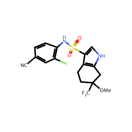 COC1(C(F)(F)F)CCc2c(S(=O)(=O)Nc3ccc(C#N)cc3F)c[nH]c2C1